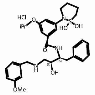 COc1cccc(CNC[C@H](O)[C@H](Cc2ccccc2)NC(=O)c2cc(OC(C)C)cc(N3CCCCS3(O)O)c2)c1.Cl